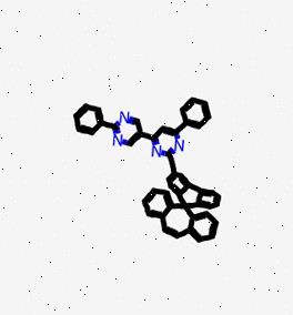 C1=Cc2ccccc2C2(c3ccccc31)c1ccccc1-c1cc(-c3nc(-c4ccccc4)cc(-c4cnc(-c5ccccc5)nc4)n3)ccc12